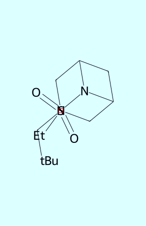 CCN1CC2CC(C1)N2S(=O)(=O)CC(C)(C)C